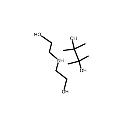 CC(C)(O)C(C)(C)O.OCCNCCO